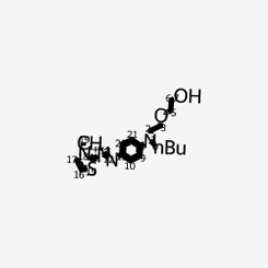 CCCCN(CCOCCO)c1ccc(/N=N/c2scc[n+]2C)cc1